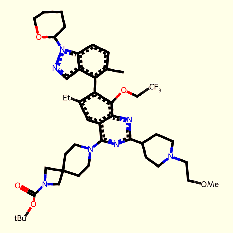 CCc1cc2c(N3CCC4(CC3)CN(C(=O)OC(C)(C)C)C4)nc(C3CCN(CCOC)CC3)nc2c(OCC(F)(F)F)c1-c1c(C)ccc2c1cnn2C1CCCCO1